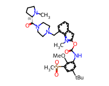 COc1c(NC(=O)Oc2cc3cccc(CN4CCN(C(=O)[C@@H]5CCCN5C)CC4)c3n2C)cc(C(C)(C)C)cc1S(C)(=O)=O